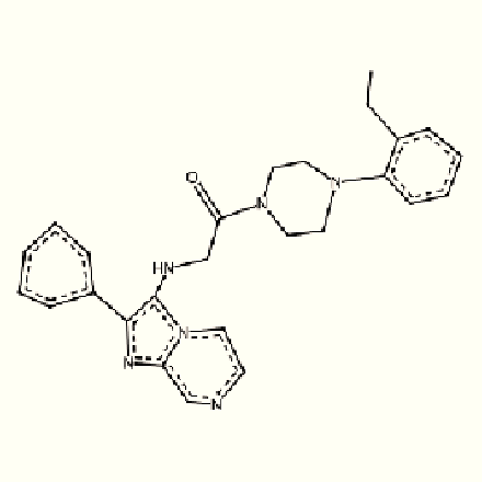 CCc1ccccc1N1CCN(C(=O)CNc2c(-c3ccccc3)nc3cnccn23)CC1